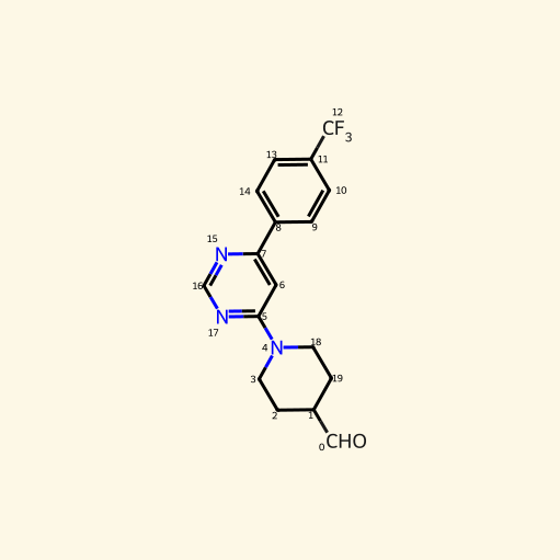 O=CC1CCN(c2cc(-c3ccc(C(F)(F)F)cc3)ncn2)CC1